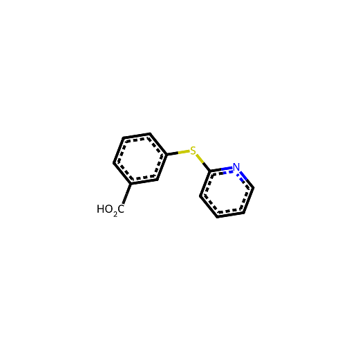 O=C(O)c1cccc(Sc2ccccn2)c1